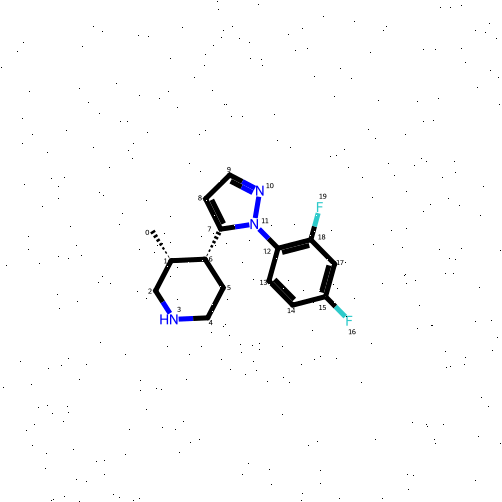 C[C@H]1CNCC[C@H]1c1ccnn1-c1ccc(F)cc1F